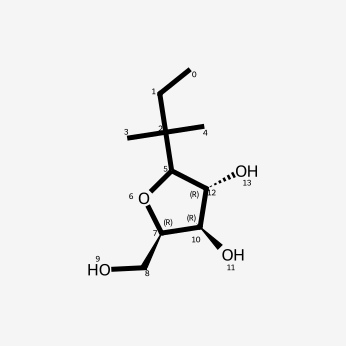 CCC(C)(C)C1O[C@H](CO)[C@H](O)[C@H]1O